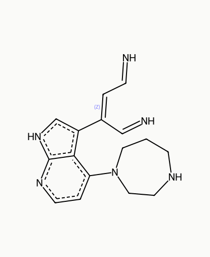 N=C/C=C(\C=N)c1c[nH]c2nccc(N3CCCNCC3)c12